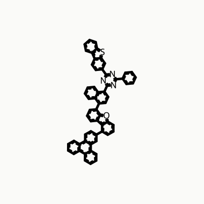 c1ccc(-c2nc(-c3ccc4c(c3)sc3ccccc34)nc(-c3ccc(-c4cccc5c4oc4cccc(-c6ccc7c8ccccc8c8ccccc8c7c6)c45)c4ccccc34)n2)cc1